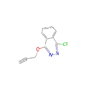 C#CCOc1nnc(Cl)c2ccccc12